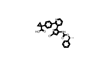 C[C@@H](OC(=O)Nc1cc(Cl)sc1-c1cccnc1-c1ccc(C2(C(=O)O)CC2)cc1)c1ccccc1